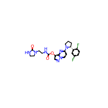 O=C(NCCN1CCNC1=O)Oc1cnn2ccc(N3CCC[C@@H]3c3cc(F)ccc3F)nc12